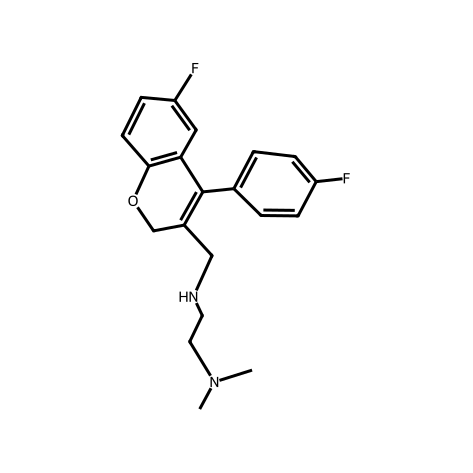 CN(C)CCNCC1=C(c2ccc(F)cc2)c2cc(F)ccc2OC1